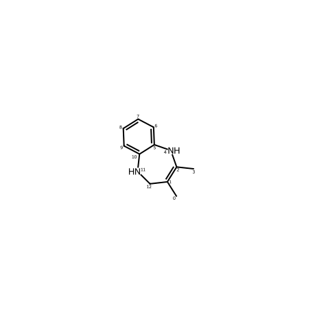 CC1=C(C)Nc2ccccc2NC1